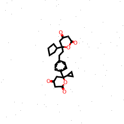 O=C1CC(=O)OC(CCc2ccc(C3(C4CC4)CC(=O)CC(=O)O3)cc2)(C2CCCC2)C1